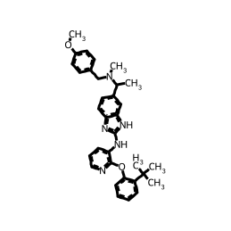 COc1ccc(CN(C)C(C)c2ccc3nc(Nc4cccnc4Oc4ccccc4C(C)(C)C)[nH]c3c2)cc1